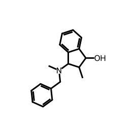 CC1C(O)c2ccccc2C1N(C)Cc1ccccc1